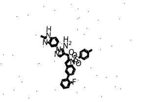 Cc1ccc(S(=O)(=O)n2c(C(=O)c3cnn(-c4ccc5[nH]c(C)nc5c4)c3N)cc3cc(-c4ccccc4F)ccc32)cc1